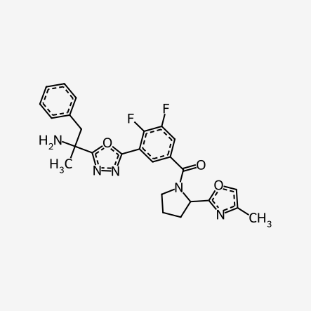 Cc1coc(C2CCCN2C(=O)c2cc(F)c(F)c(-c3nnc(C(C)(N)Cc4ccccc4)o3)c2)n1